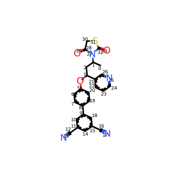 CC(CC(Oc1ccc(-c2cc(C#N)cc(C#N)c2)cc1)c1cccnc1)N1C(=O)CSC1=O